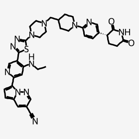 CCNc1cc(-c2ccc3cc(C#N)cnn23)ncc1-c1nnc(N2CCN(CC3CCN(c4ccc([C@H]5CCC(=O)NC5=O)cn4)CC3)CC2)s1